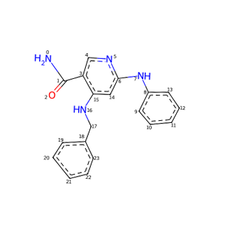 NC(=O)c1cnc(Nc2ccccc2)cc1NCc1ccccc1